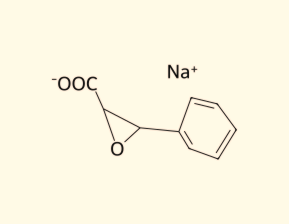 O=C([O-])C1OC1c1ccccc1.[Na+]